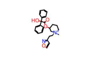 C[N@+]1(CCc2ccon2)CCCC(OC(=O)C(O)(c2ccccc2)c2ccccc2)C1